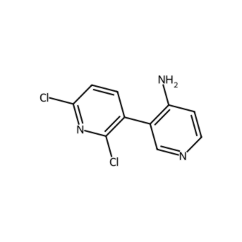 Nc1ccncc1-c1ccc(Cl)nc1Cl